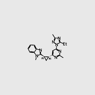 CCc1nc(C)nn1-c1cc([C@@H]2C[C@H]2c2nc3ccccc3n2C)nc(C)n1